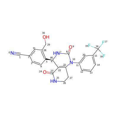 N#Cc1ccc([C@H]2NC(=O)N(c3cccc(C(F)(F)F)c3)C3=C2C(=O)NCC3)c(CO)c1